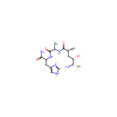 CCC[C@H](N)[C@@H](O)C[C@@H](C(=O)NC(C(=O)NC(Cc1c[nH]cn1)C(N)=O)C(C)CC)C(C)C